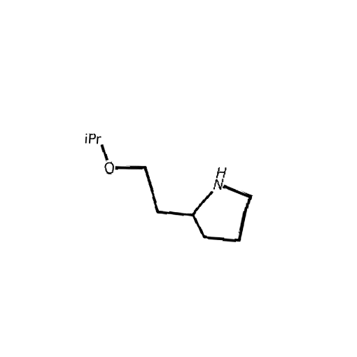 [CH2]C(C)OCCC1CCCN1